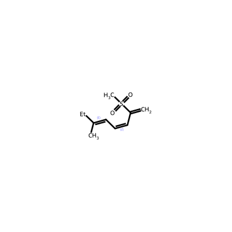 C=C(/C=C\C=C(/C)CC)S(C)(=O)=O